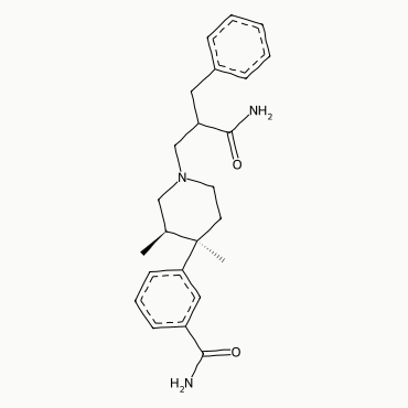 C[C@H]1CN(CC(Cc2ccccc2)C(N)=O)CC[C@@]1(C)c1cccc(C(N)=O)c1